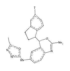 Cc1nnc(Nc2ccc3c(c2)C(C2CCc4cc(F)ccc42)OC(N)=N3)o1